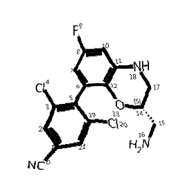 N#Cc1cc(Cl)c(-c2cc(F)cc3c2O[C@@H](CN)CN3)c(Cl)c1